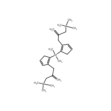 C=C(CC1=[C]([Hf]([CH3])([CH3])[C]2=C(CC(=C)C[Si](C)(C)C)C=CC2)CC=C1)C[Si](C)(C)C